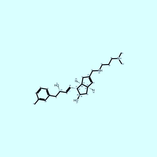 Cc1cccc(C[C@H](O)/C=C/[C@@H]2[C@H]3CC(CNCCCN(C)C)=C[C@H]3C[C@H]2O)c1